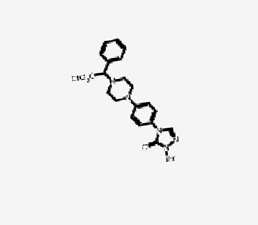 CCOC(=O)C(c1ccccc1)N1CCN(c2ccc(-n3cnn(C(C)C)c3=O)cc2)CC1